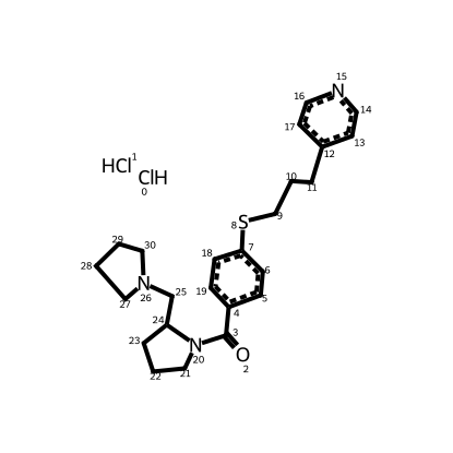 Cl.Cl.O=C(c1ccc(SCCCc2ccncc2)cc1)N1CCCC1CN1CCCC1